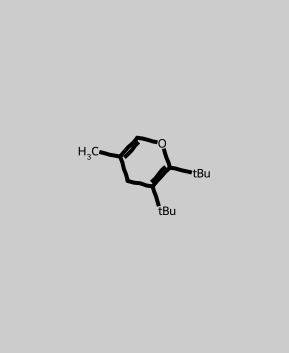 CC1=COC(C(C)(C)C)=C(C(C)(C)C)C1